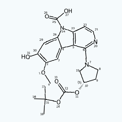 COc1cc2c3c(N4CC[C@H](OC(=O)OC(C)(C)C)C4)nccc3n(C(=O)O)c2cc1O